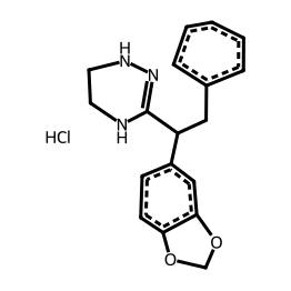 Cl.c1ccc(CC(C2=NNCCN2)c2ccc3c(c2)OCO3)cc1